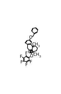 C[C@@]1(C(=O)Oc2c(F)c(F)c(F)c(F)c2F)CCC[C@@]2(C)c3cc(OCc4ccccc4)ccc3CC[C@@H]12